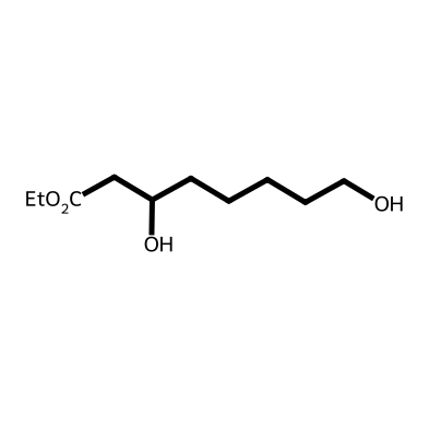 CCOC(=O)CC(O)CCCCCO